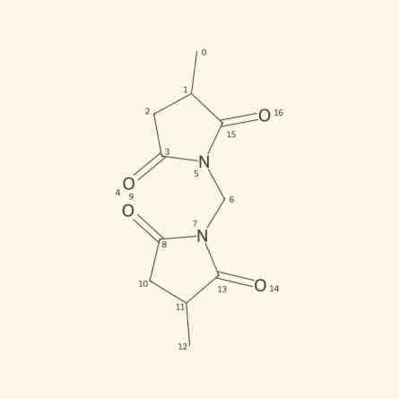 CC1CC(=O)N(CN2C(=O)CC(C)C2=O)C1=O